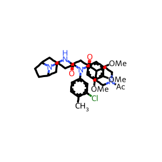 COc1cc(CC(=O)NC2CC3CCC(C2)N3CCCN(C(=O)C2CCN(C(C)=O)CC2)c2ccc(C)c(Cl)c2)cc(OC)c1OC